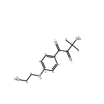 CC(C)(O)C(=O)C(=O)c1ccc(OCCO)cc1